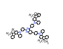 CC1(C)c2ccccc2-c2c1ccc1c2c2ccccc2n1-c1ccc(-c2ccc3nc(-c4cccc(-n5c6ccccc6c6c7c(ccc65)C(C)(C)c5ccccc5-7)c4)nc(-c4ccc(-n5c6ccccc6c6c7c(ccc65)C(C)(C)c5ccccc5-7)cc4)c3c2)cc1